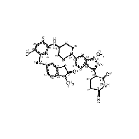 CN1C(=O)Cc2cc(Nc3nc(NC4CCN(c5ccc6c(C7CCC(=O)NC7=O)nn(C)c6c5)CC4)ncc3Cl)ccc21